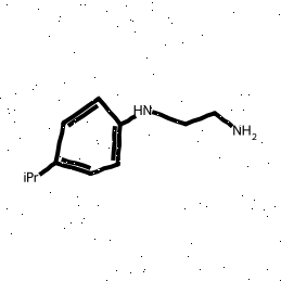 CC(C)c1ccc(NCCN)cc1